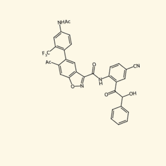 CC(=O)Nc1ccc(-c2cc3c(C(=O)Nc4ccc(C#N)cc4C(=O)C(O)c4ccccc4)noc3cc2C(C)=O)c(C(F)(F)F)c1